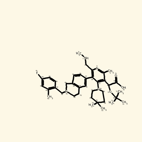 CNCc1nc(C)c(C(OC(C)(C)C)C(=O)O)c(N2CCC(C)(C)CC2)c1-c1ccc2c(c1)CCN(Cc1ccc(F)cc1C)C2